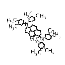 Cc1ccc(N(c2ccc(C)c(C)c2)c2ccc3ccc4c5c(ccc2c35)=CCC4(C)N(c2ccc(C)c(C)c2)c2ccc(C)c(C)c2)cc1C